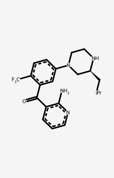 CC(C)C[C@H]1CN(c2ccc(C(F)(F)F)c(C(=O)c3cccnc3N)c2)CCN1